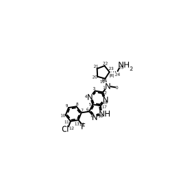 CN(c1cnc2c(-c3cccc(Cl)c3F)n[nH]c2n1)[C@@H]1CCC[C@@H]1CN